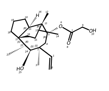 C=C[C@]1(C)C[C@@H](OC(=O)CO)[C@]2(C)C(C)CC[C@]3(CCC[C@H]32)[C@@H](C)[C@@H]1O